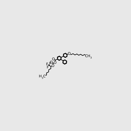 CCCCCCCCCOc1ccc(-c2ccc(C(=O)OC(=O)OC(CCCCCC)C(F)(F)F)cc2-c2ccccc2)cc1